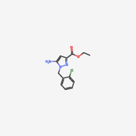 CCOC(=O)c1cc(N)n(Cc2ccccc2Cl)n1